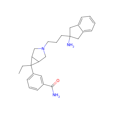 CCC1(c2cccc(C(N)=O)c2)C2CN(CCCC3(N)Cc4ccccc4C3)CC21